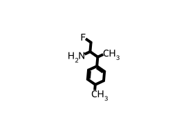 CC1C=CC(C(C)C(N)CF)=CC1